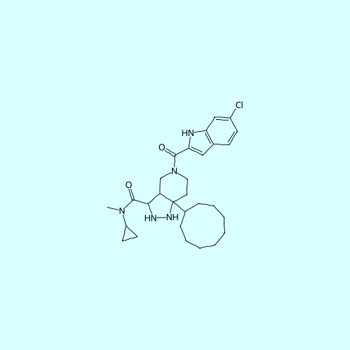 CN(C(=O)C1NNC2(C3CCCCCCCC3)CCN(C(=O)c3cc4ccc(Cl)cc4[nH]3)CC12)C1CC1